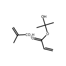 C=C(C)C(=O)O.C=CC(=O)OC(C)(C)O